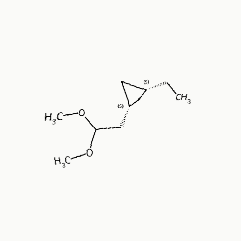 CC[C@H]1C[C@H]1CC(OC)OC